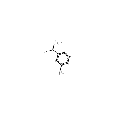 CCOC(=O)C(F)c1cccc(C(F)(F)F)c1